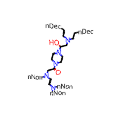 CCCCCCCCCCCCN(CCCCCCCCCCCC)CC(O)N1CCN(C(=O)CN(CCCCCCCCC)CCN(CCCCCCCCC)CCCCCCCCC)CC1